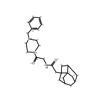 O=C(CC12CC3CC4CC(C1)C2(C4)C3)NCC(=O)N1CCN(Cc2ccccc2)CC1